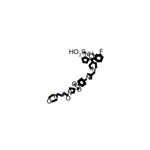 N#CC(c1cccc(F)c1)(C1CCN(CC2CN(c3ccc(S(=O)(=O)C4CN(C(=O)/C=C/CN5CCOCC5)C4)cc3)C2)CC1)[C@H]1CCC[C@@H]1NC(=O)O